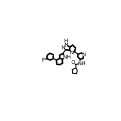 O=C(Nc1cncc(-c2ccc3[nH]nc(-c4cc5c(-c6cccc(F)c6)cccc5[nH]4)c3n2)c1)C1CCCC1